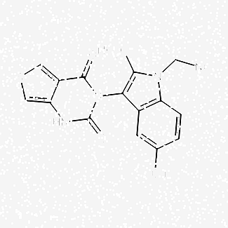 [C-]#[N+]Cn1c(C(=O)O)c(-n2c(=O)[nH]c3cscc3c2=O)c2cc(C)ccc21